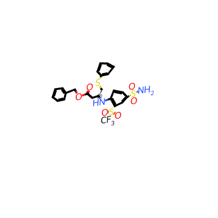 NS(=O)(=O)c1ccc(N[C@@H](CSc2ccccc2)CC(=O)OCc2ccccc2)c(S(=O)(=O)C(F)(F)F)c1